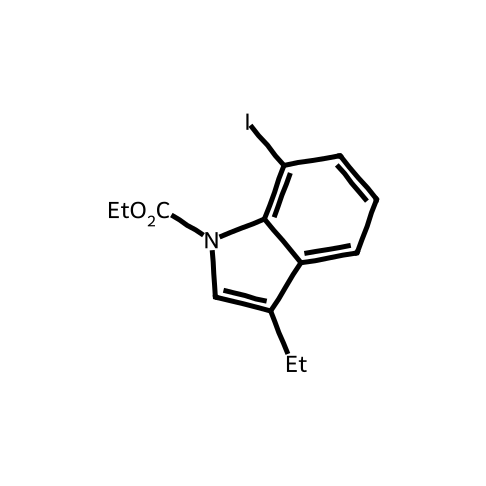 CCOC(=O)n1cc(CC)c2cccc(I)c21